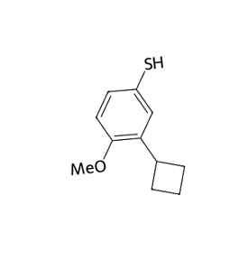 COc1ccc(S)cc1C1CCC1